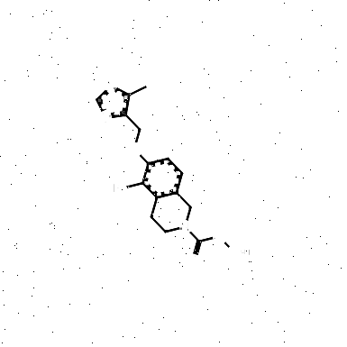 Cc1ncoc1COc1ccc2c(c1Br)CCN(C(=O)OC(C)(C)C)C2